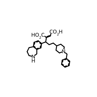 O=C(O)/C=C(\C(=O)O)C(CCC1CCN(Cc2ccccc2)CC1)c1ccc2c(c1)CNCCC2